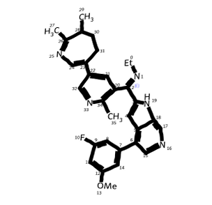 CC/N=C(/c1cc2c(-c3cc(F)cc(OC)c3)cncc2[nH]1)c1cc(C2=CN=C(C)C(C)CC2)cnc1C